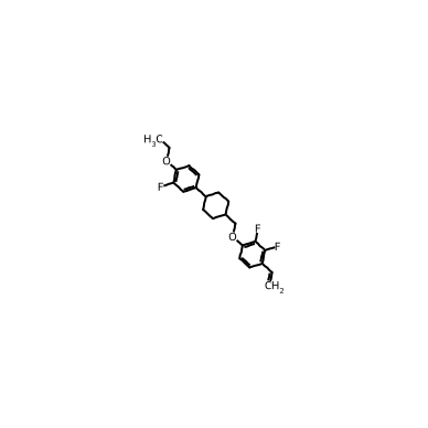 C=Cc1ccc(OCC2CCC(c3ccc(OCC)c(F)c3)CC2)c(F)c1F